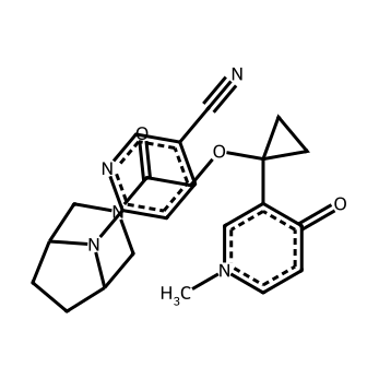 Cn1ccc(=O)c(C2(OCC(=O)N3CC4CCC(C3)N4c3ccc(C#N)cn3)CC2)c1